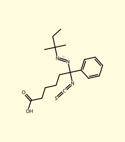 CCC(C)(C)/N=N/C(CCCCC(=O)O)(N=C=S)c1ccccc1